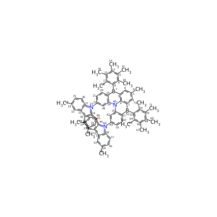 Cc1cc2c3c(c1)B(c1c(C)c(C)c(C)c(C)c1C)c1ccc(-n4c5ccc(C)cc5c5cc(C)ccc54)cc1N3c1cc(-n3c4ccc(C)cc4c4cc(C)ccc43)ccc1B2c1c(C)c(C)c(C)c(C)c1C